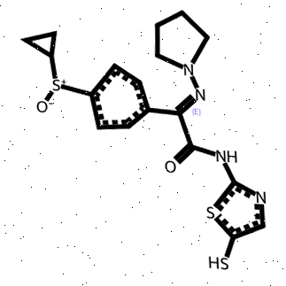 O=C(Nc1ncc(S)s1)/C(=N/N1CCCC1)c1ccc([S+]([O-])C2CC2)cc1